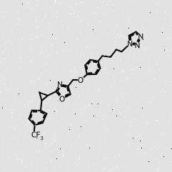 FC(F)(F)c1ccc(C2CC2c2nc(COc3ccc(CCCCn4ccnn4)cc3)co2)cc1